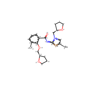 CC(C)(C)c1cn(C[C@H]2CCCO2)c(=NC(=O)c2cccc(C(F)(F)F)c2OC[C@H]2CCCO2)s1